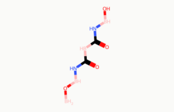 BOBNC(=O)BC(=O)NBO